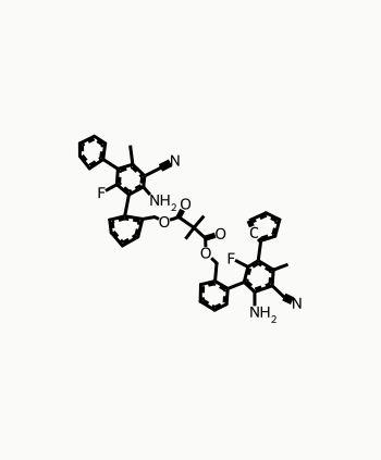 Cc1c(C#N)c(N)c(-c2ccccc2COC(=O)C(C)(C)C(=O)OCc2ccccc2-c2c(N)c(C#N)c(C)c(-c3ccccc3)c2F)c(F)c1-c1ccccc1